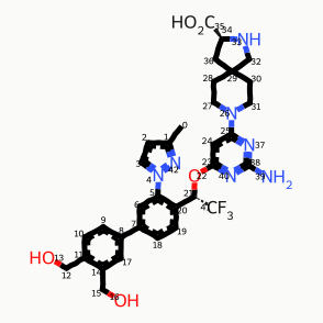 Cc1ccn(-c2cc(-c3ccc(CO)c(CO)c3)ccc2[C@H](Oc2cc(N3CCC4(CC3)CN[C@H](C(=O)O)C4)nc(N)n2)C(F)(F)F)n1